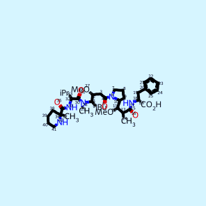 CCC(C)C(C(CC(=O)N1CCCC1C(OC)C(C)C(=O)NC(Cc1ccccc1)C(=O)O)OC)N(C)C(=O)C(NC(=O)C1(C)CCCCN1)C(C)C